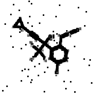 O=C=Nc1ccc(Cl)cc1C(O)(C#CC1CC1)C(F)(F)F